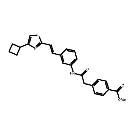 COC(=O)c1ccc(CC(=O)Nc2cccc(/C=C/c3nc(C4CCC4)cs3)c2)cc1